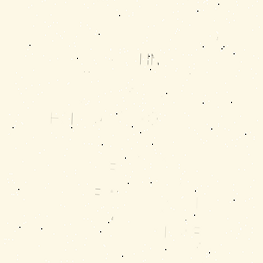 Cl.FC(F)(F)c1cc(COC2Cc3ccccc3NC2c2ccccc2)cc(C(F)(F)F)c1